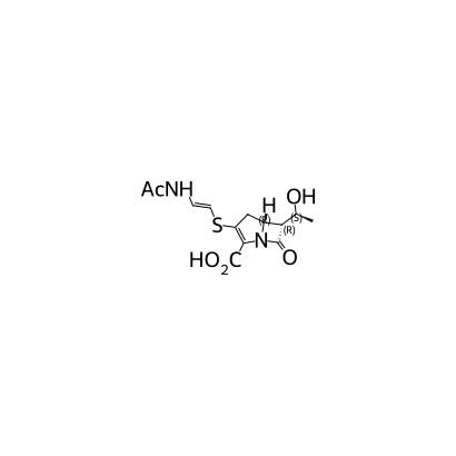 CC(=O)NC=CSC1=C(C(=O)O)N2C(=O)[C@@H]([C@H](C)O)[C@H]2C1